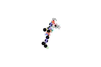 CCOP(=O)(CN1CCN(CC[C@H](CSc2ccccc2)Nc2ccc(S(=O)(=O)NC(=O)c3ccc(N4CCN(Cc5ccccc5-c5ccc(Cl)cc5)CC4)cc3)cc2S(=O)(=O)C(F)(F)F)CC1)OCOC(=O)C(C)(C)C